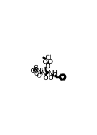 CC(Cl)OC(=O)OCC1C(NC(=O)OCc2ccccc2)C(=O)N1C(=O)NS(=O)(=O)Cl